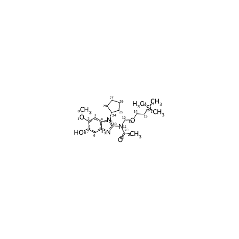 COc1cc2c(cc1O)nc(N(COCC[Si](C)(C)C)C(C)=O)n2C1CCCC1